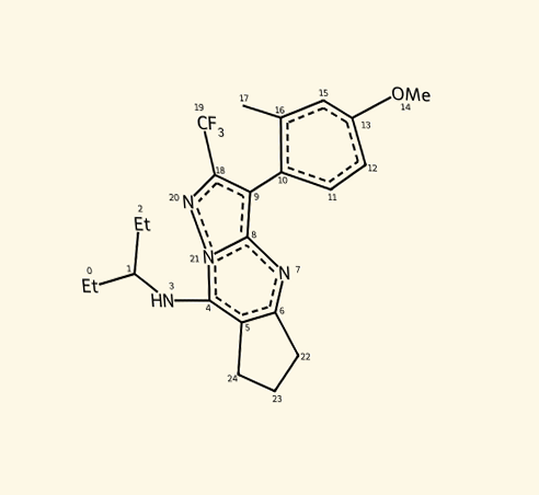 CCC(CC)Nc1c2c(nc3c(-c4ccc(OC)cc4C)c(C(F)(F)F)nn13)CCC2